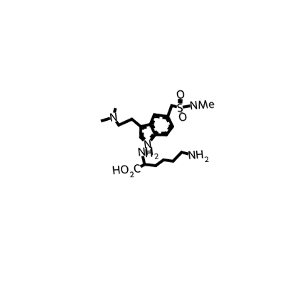 CNS(=O)(=O)Cc1ccc2[nH]cc(CCN(C)C)c2c1.NCCCCC(N)C(=O)O